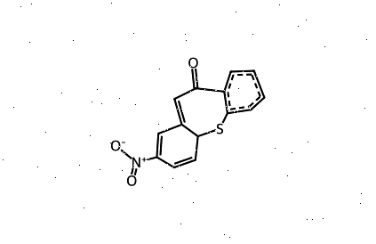 O=C1C=C2C=C([N+](=O)[O-])C=CC2Sc2ccccc21